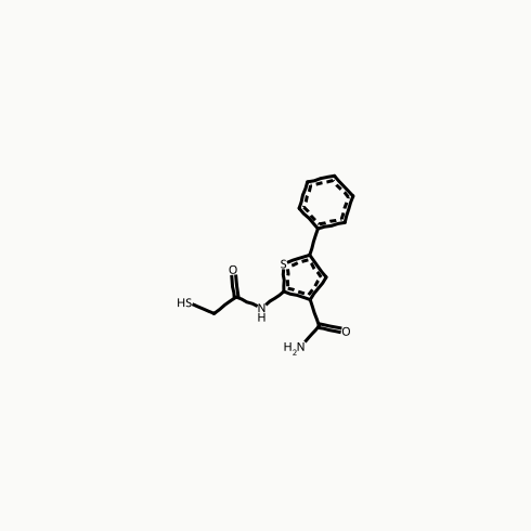 NC(=O)c1cc(-c2ccccc2)sc1NC(=O)CS